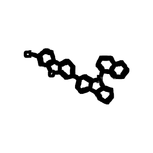 Clc1ccc2c(c1)oc1cc(-c3ccc4c5ccccc5n(-c5cccc6ccccc56)c4c3)ccc12